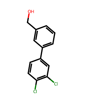 OCc1cccc(-c2ccc(Cl)c(Cl)c2)c1